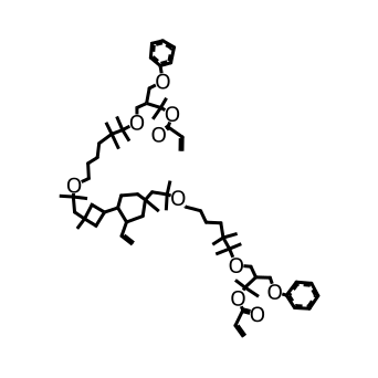 C=CC(=O)OC(C)(C)C(COc1ccccc1)COC(C)(C)C(C)(C)CCCCOC(C)(C)CC1(C)CCC(C2CC(C)(CC(C)(C)OCCCCC(C)(C)C(C)(C)OCC(COc3ccccc3)C(C)(C)OC(=O)C=C)C2)C(C=C)C1